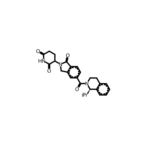 CC(C)[C@@H]1c2ccccc2CCN1C(=O)c1ccc2c(c1)CN(C1CCC(=O)NC1=O)C2=O